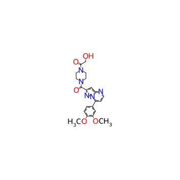 COc1ccc(-c2ccnc3cc(C(=O)N4CCN(C(=O)CO)CC4)nn23)cc1OC